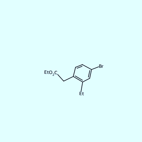 CCOC(=O)Cc1ccc(Br)cc1CC